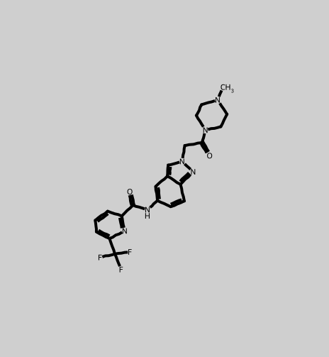 CN1CCN(C(=O)Cn2cc3cc(NC(=O)c4cccc(C(F)(F)F)n4)ccc3n2)CC1